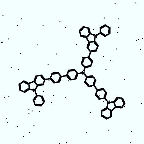 c1ccc(-n2c3ccccc3c3cc(-c4ccc(N(c5ccc(-c6ccc(-c7ccc8c9ccccc9n(-c9ccccc9)c8c7)cc6)cc5)c5ccc(-c6ccc(-n7c8ccccc8c8ccccc87)cc6)cc5)cc4)ccc32)cc1